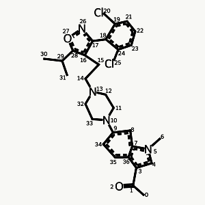 CC(=O)c1cn(C)c2cc(N3CCN(CCc4c(-c5c(Cl)cccc5Cl)noc4C(C)C)CC3)ccc12